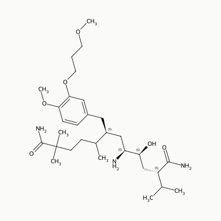 COCCCOc1cc(C[C@@H](C[C@H](N)[C@@H](O)C[C@H](C(N)=O)C(C)C)C(C)CCC(C)(C)C(N)=O)ccc1OC